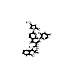 O=C(NC(c1ccccc1Cl)C(F)(F)F)c1cn(-c2ncc(F)cc2F)c2nc(N3CC(O)CC3=O)ccc2c1=O